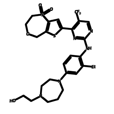 CCc1cc(N2CCCN(CCO)CC2)ccc1Nc1ncc(C(F)(F)F)c(-c2cc3c(s2)COCCS3(=O)=O)n1